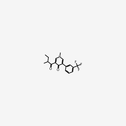 CCC(C)C(=O)c1cn(C)cc(-c2cccc(C(F)(F)F)c2)c1=O